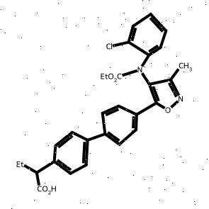 CCOC(=O)N(c1ccccc1Cl)c1c(C)noc1-c1ccc(-c2ccc(C(CC)C(=O)O)cc2)cc1